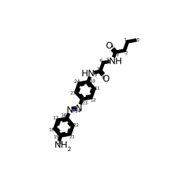 CCCC(=O)NCC(=O)Nc1ccc(/N=N/c2ccc(N)cc2)cc1